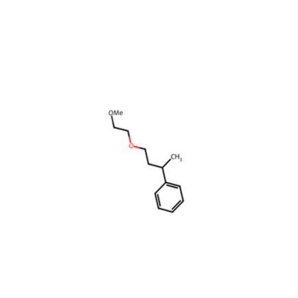 COCCOCCC(C)c1ccccc1